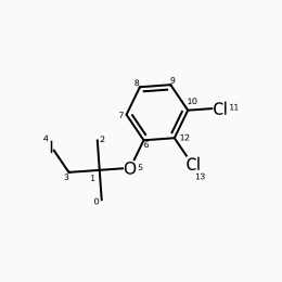 CC(C)(CI)Oc1cccc(Cl)c1Cl